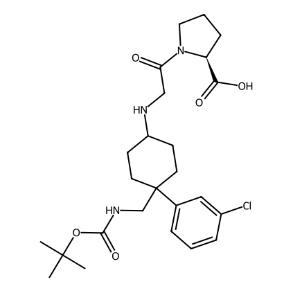 CC(C)(C)OC(=O)NCC1(c2cccc(Cl)c2)CCC(NCC(=O)N2CCC[C@H]2C(=O)O)CC1